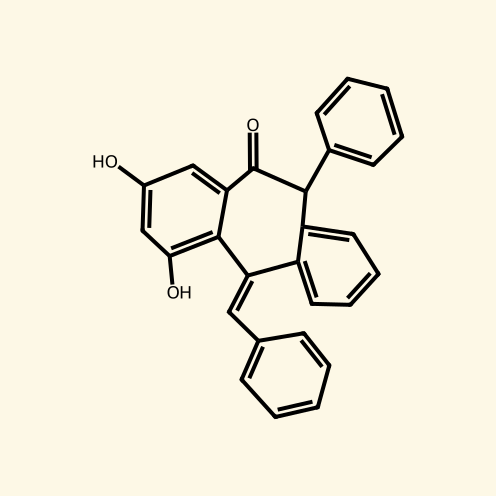 O=C1c2cc(O)cc(O)c2/C(=C/c2ccccc2)c2ccccc2C1c1ccccc1